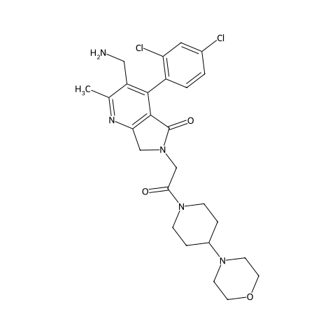 Cc1nc2c(c(-c3ccc(Cl)cc3Cl)c1CN)C(=O)N(CC(=O)N1CCC(N3CCOCC3)CC1)C2